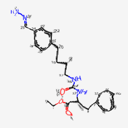 CCOC(=O)C(Cc1ccccc1)NC(=O)NCCCCc1ccc(C=NN)cc1